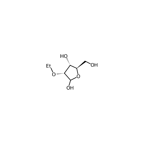 CCO[C@H]1C(O)O[C@H](CO)[C@H]1O